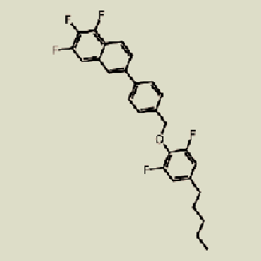 CCCCCc1cc(F)c(OCc2ccc(-c3ccc4c(F)c(F)c(F)cc4c3)cc2)c(F)c1